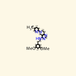 COc1cc(CCNc2ncnc3c2CN(c2ccc(C)cn2)CC3)cc(OC)c1